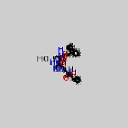 O=C(NC(CS(=O)(=O)O)C(=O)NC(CS(=O)(=O)O)C(=O)NCCNC(=O)C(=O)Cc1ccccc1)OCC1c2ccccc2-c2ccccc21